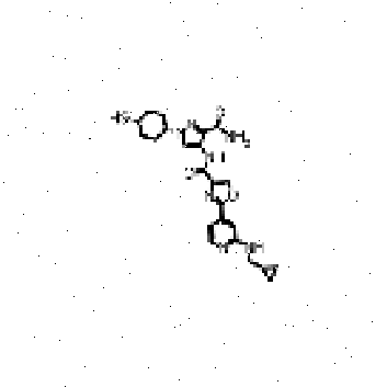 NC(=O)c1nn([C@H]2CC[C@H](S)CC2)cc1NC(=O)c1coc(-c2ccnc(NCC3CC3)c2)n1